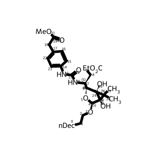 CCCCCCCCCCCCO[C@H]1O[C@H]([C@H](CC(=O)OCC)NC(=O)Nc2ccc(CC(=O)OC)cc2)[C@@]2(O)C(C)(C)[C@@]12O